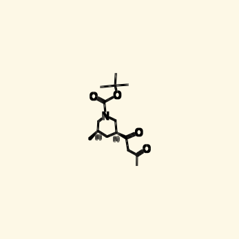 CC(=O)CC(=O)[C@H]1C[C@@H](C)CN(C(=O)OC(C)(C)C)C1